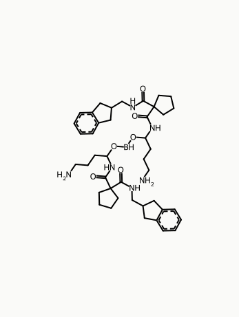 NCCCC(NC(=O)C1(C(=O)NCC2Cc3ccccc3C2)CCCC1)OBOC(CCCN)NC(=O)C1(C(=O)NCC2Cc3ccccc3C2)CCCC1